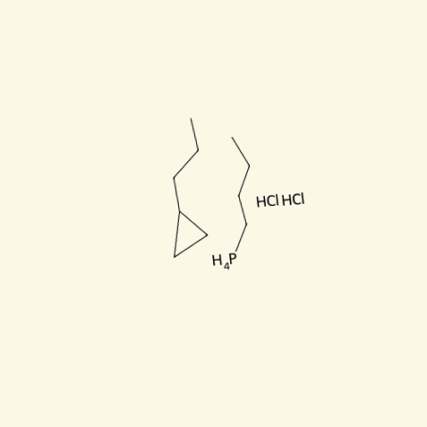 CCCC1CC1.CCCC[PH4].Cl.Cl